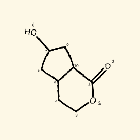 O=C1OCCC2CC(O)CC12